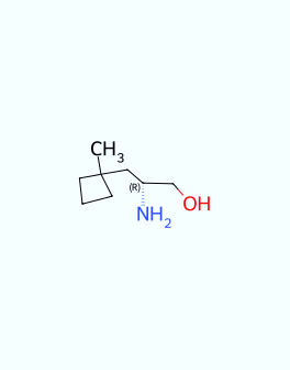 CC1(C[C@@H](N)CO)CCC1